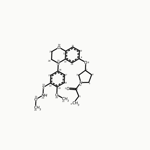 CCC(=O)N1CCC(Oc2ccc3c(c2)N(c2ccc(OC)c(SNOC)c2)CCO3)C1